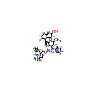 [2H]C1([2H])CC[C@@]2(COc3nc(N4CC5CCC4CN5)c4cc(C(F)(F)F)n(-c5cc(O)cc6ccc(F)c(C#C)c56)c(=O)c4n3)C[C@@]([2H])(F)CN12